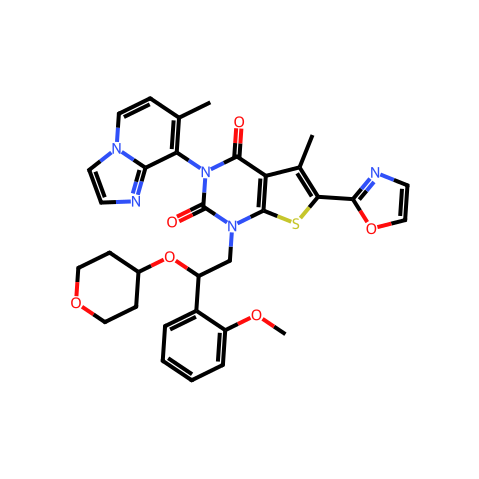 COc1ccccc1C(Cn1c(=O)n(-c2c(C)ccn3ccnc23)c(=O)c2c(C)c(-c3ncco3)sc21)OC1CCOCC1